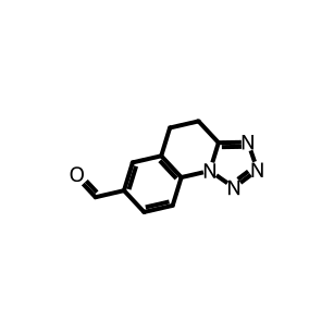 O=Cc1ccc2c(c1)CCc1nnnn1-2